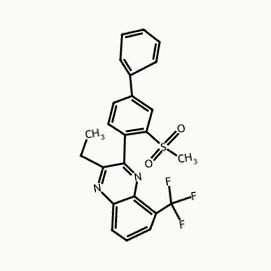 CCc1nc2cccc(C(F)(F)F)c2nc1-c1ccc(-c2ccccc2)cc1S(C)(=O)=O